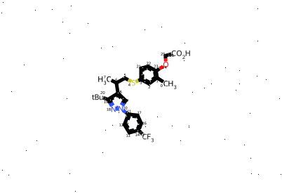 Cc1cc(SCC(C)c2cn(-c3ccc(C(F)(F)F)cc3)nc2C(C)(C)C)ccc1OCC(=O)O